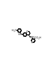 Cc1cccc(Nc2ccc3c(c2)OCC[C@H]3CNc2cnccc2C(=O)O)c1